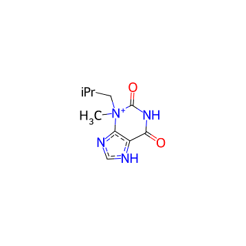 CC(C)C[N+]1(C)C(=O)NC(=O)c2[nH]cnc21